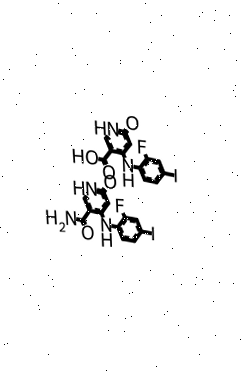 NC(=O)c1c[nH]c(=O)cc1Nc1ccc(I)cc1F.O=C(O)c1c[nH]c(=O)cc1Nc1ccc(I)cc1F